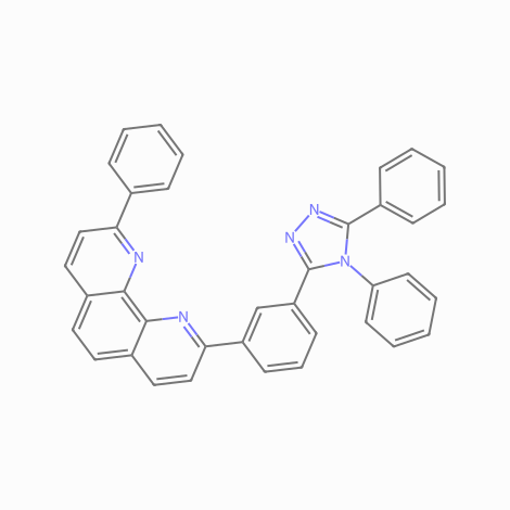 c1ccc(-c2ccc3ccc4ccc(-c5cccc(-c6nnc(-c7ccccc7)n6-c6ccccc6)c5)nc4c3n2)cc1